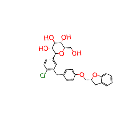 OC[C@H]1O[C@@H](c2ccc(Cl)c(Cc3ccc(OC[C@H]4Cc5ccccc5O4)cc3)c2)[C@H](O)[C@@H](O)[C@@H]1O